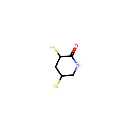 O=C1NCC(S)CC1S